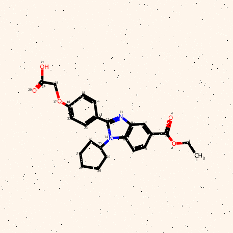 CCOC(=O)c1ccc2c(c1)nc(-c1ccc(OCC(=O)O)cc1)n2C1CCCCC1